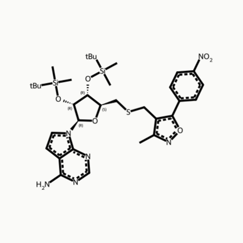 Cc1noc(-c2ccc([N+](=O)[O-])cc2)c1CSC[C@H]1O[C@@H](n2ccc3c(N)ncnc32)[C@H](O[Si](C)(C)C(C)(C)C)[C@@H]1O[Si](C)(C)C(C)(C)C